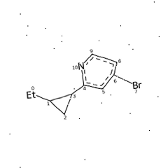 CCC1CC1c1cc(Br)ccn1